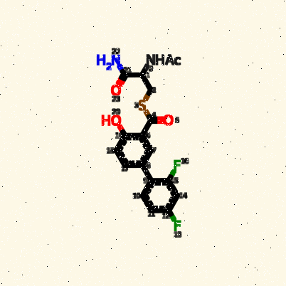 CC(=O)NC(CSC(=O)c1cc(-c2ccc(F)cc2F)ccc1O)C(N)=O